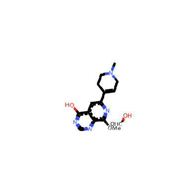 COc1nc(C2=CCN(C)CC2)cc2c(O)ncnc12.O=CO